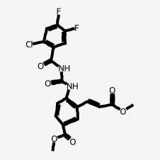 COC(=O)/C=C/c1cc(C(=O)OC)ccc1NC(=O)NC(=O)c1cc(F)c(F)cc1Cl